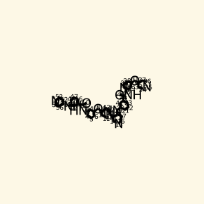 O=C(Nc1cccc(Oc2cc[n+](-c3cnccc3Nc3cccc(C(=O)Nc4cc(Oc5ccncc5)ccn4)c3)cc2)c1)c1cccc(Nc2ccncc2)c1